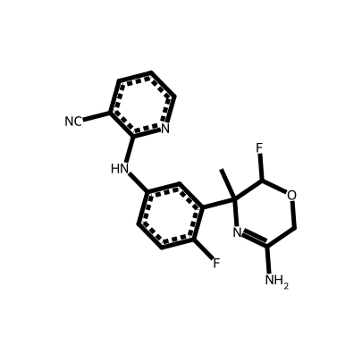 CC1(c2cc(Nc3ncccc3C#N)ccc2F)N=C(N)COC1F